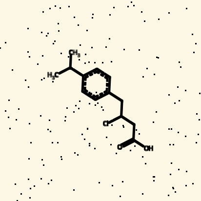 CC(C)c1ccc(CC(Cl)CC(=O)O)cc1